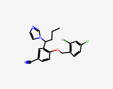 CCCC(c1cc(C#N)ccc1OCc1ccc(Cl)cc1Cl)n1ccnc1